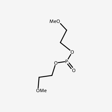 COCCO[P](=O)OCCOC